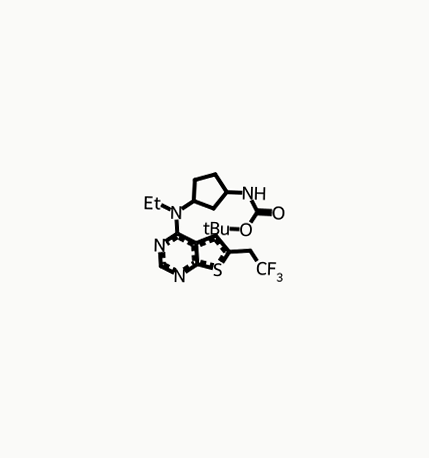 CCN(c1ncnc2sc(CC(F)(F)F)cc12)C1CCC(NC(=O)OC(C)(C)C)C1